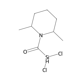 CC1CCCC(C)N1C(=O)[SiH](Cl)Cl